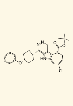 CC(C)(C)OC(=O)N1CC=C(Cl)C=c2[nH]c3c(c21)CN=NC=3[C@H]1CC[C@@H](Oc2ccccc2)CC1